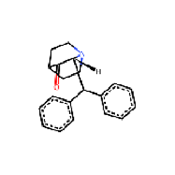 O=C1C2CCN(CC2)[C@@H]1C(c1ccccc1)c1ccccc1